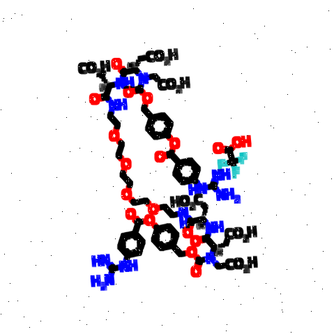 N=C(N)Nc1ccc(C(=O)Oc2ccc(COC(=O)N(CC(=O)O)[C@@H](CC(=O)O)C(=O)N[C@@H](CC(=O)O)C(=O)NCCOCCOCCOCCOCCNC(=O)[C@H](CC(=O)O)NC(=O)[C@H](CC(=O)O)N(CC(=O)O)C(=O)OCc3ccc(OC(=O)c4ccc(NC(=N)N)cc4)cc3)cc2)cc1.O=C(O)C(F)(F)F